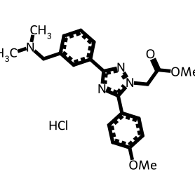 COC(=O)Cn1nc(-c2cccc(CN(C)C)c2)nc1-c1ccc(OC)cc1.Cl